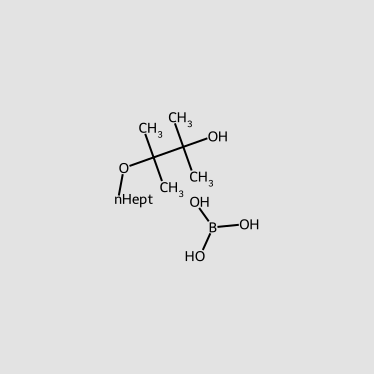 CCCCCCCOC(C)(C)C(C)(C)O.OB(O)O